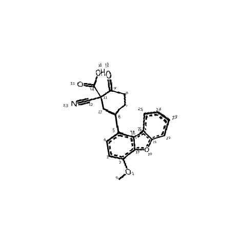 COc1ccc(C2CCC(=O)C(C#N)(C(=O)O)C2)c2c1oc1ccccc12